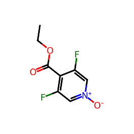 CCOC(=O)c1c(F)c[n+]([O-])cc1F